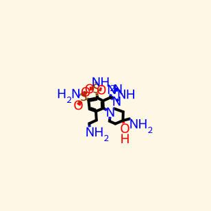 NCCc1cc(S(N)(=O)=O)c(S(N)(=O)=O)c(-c2nn[nH]n2)c1N1CCC(O)(CN)CC1